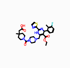 CCOC(=O)C1=C(CN2CCN(C(=O)N3CCC(C)(CC(=O)O)CC3)CC2)NC(c2nccs2)=NC1c1cccc(F)c1C